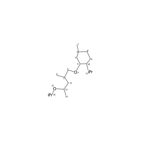 CC(COC1CC(C)CCC1C(C)C)CC(C)OC(C)C